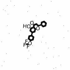 O=c1cc(-c2ccccc2)oc2cc(-c3ccc(OC(F)(F)F)cc3)cc(O)c12